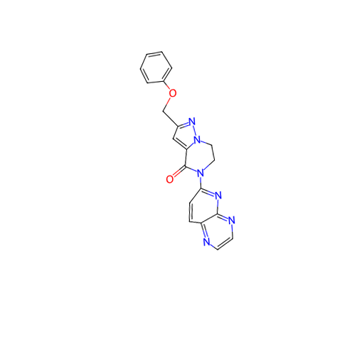 O=C1c2cc(COc3ccccc3)nn2CCN1c1ccc2nccnc2n1